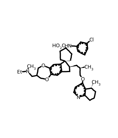 CCN(C)CC1COc2cc3c(cc2OC1)[C@]1(CC[C@@](Nc2cccc(Cl)c2)(C(=O)O)CC1)[C@@H](C[C@@H](C)COc1ccnc2c1[C@H](C)CCC2)C3